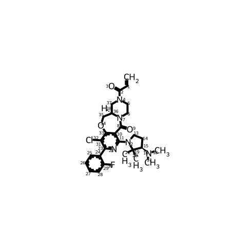 C=CC(=O)N1CCN2C(=O)c3c(N4CC[C@@H](N(C)C)C4(C)C)nc(-c4ccccc4F)c(Cl)c3OC[C@H]2C1